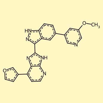 COc1cncc(-c2ccc3[nH]nc(-c4nc5c(-c6ccoc6)ccnc5[nH]4)c3c2)c1